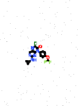 O=c1c(Cl)nc2cnc(NC3CC3)nc2n1-c1ccc(OC(F)F)cc1